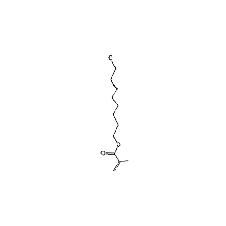 C=C(C)C(=O)OCCCCCCCC[O]